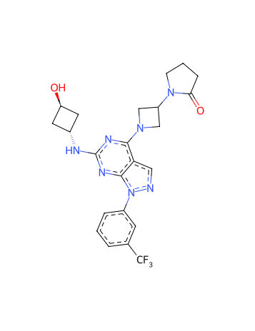 O=C1CCCN1C1CN(c2nc(N[C@H]3C[C@H](O)C3)nc3c2cnn3-c2cccc(C(F)(F)F)c2)C1